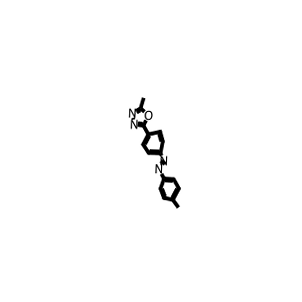 Cc1ccc(N=Nc2ccc(-c3nnc(C)o3)cc2)cc1